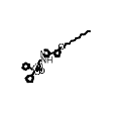 CCCCCCCCCCCOc1cccc(-c2ccnc(NC[C@@H](C)OP(=O)(OCc3ccccc3)OCc3ccccc3)c2)c1